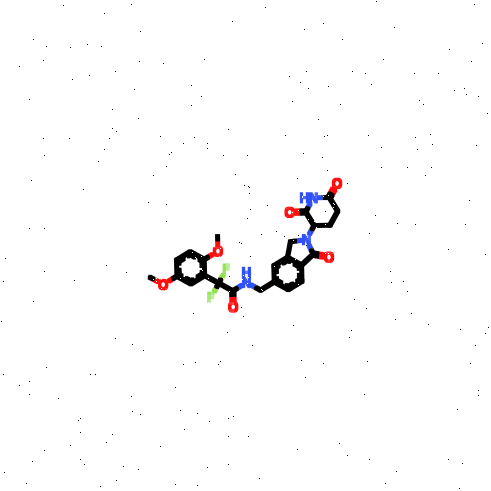 COc1ccc(OC)c(C(F)(F)C(=O)NCc2ccc3c(c2)CN(C2CCC(=O)NC2=O)C3=O)c1